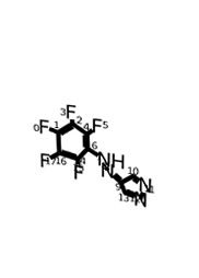 Fc1c(F)c(F)c(NN=C2C=NN=C2)c(F)c1F